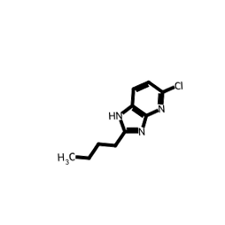 CCCCc1nc2nc(Cl)ccc2[nH]1